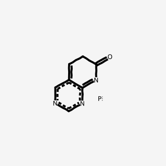 O=C1CC=c2cncnc2=N1.[P]